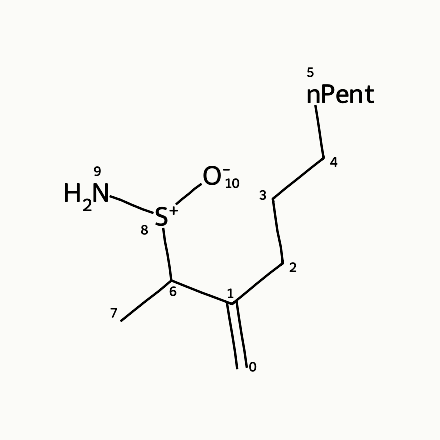 C=C(CCCCCCCC)C(C)[S+](N)[O-]